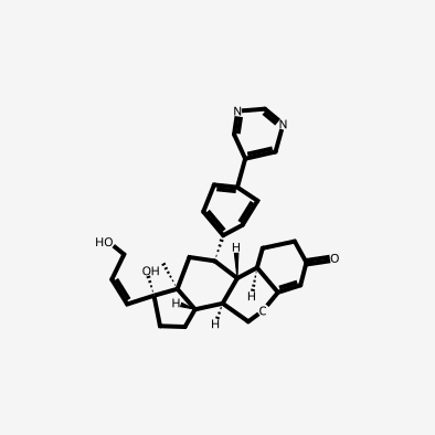 C[C@]12C[C@H](c3ccc(-c4cncnc4)cc3)[C@H]3[C@@H](CCC4=CC(=O)CC[C@@H]43)[C@@H]1CC[C@@]2(O)/C=C\CO